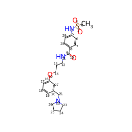 CS(=O)(=O)Nc1ccc(C(=O)NCCCOc2cccc(CN3CCCC3)c2)cc1